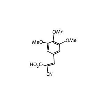 COc1cc(C=C(C#N)C(=O)O)cc(OC)c1OC